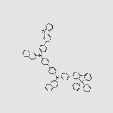 c1ccc(C2(c3ccccc3)c3ccccc3-c3ccc(-c4ccc(N(c5ccc(-c6ccc(N(c7ccc(-c8ccc9c(c8)oc8ccccc89)cc7)c7ccc8ccccc8c7)cc6)cc5)c5ccc6ccccc6c5)cc4)cc32)cc1